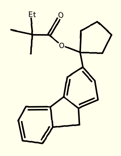 CCC(C)(C)C(=O)OC1(c2ccc3c(c2)-c2ccccc2C3)CCCC1